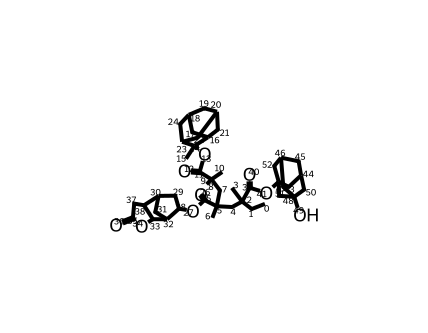 CCC(C)(CC(C)(CC(C)(C)C(=O)OC1(C)C2CC3CC(C2)CC1C3)C(=O)OC1CC2CC1C1OC(=O)CC21)C(=O)OC12CC3CC(CC(O)(C3)C1)C2